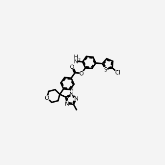 Cc1n[nH]c(C2(c3ccc(C(=O)Oc4cc(-c5ccc(Cl)s5)ccc4N)cc3)CCOCC2)n1